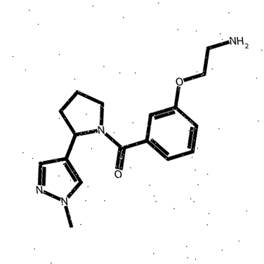 Cn1cc(C2CCCN2C(=O)c2cccc(OCCN)c2)cn1